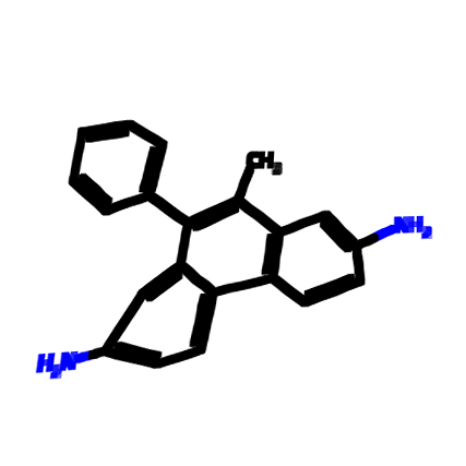 Cc1c(-c2ccccc2)c2cc(N)ccc2c2ccc(N)cc12